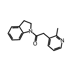 Cc1ncccc1CC(=O)N1CCc2ccccc21